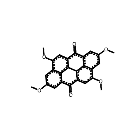 COc1cc2c(OC)cc3c4c2c(c1)c(=O)c1cc(OC)c2cc(OC)cc(c3=O)c2c1-4